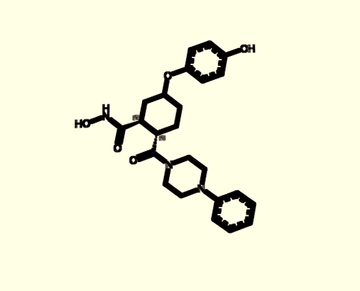 O=C(NO)[C@H]1CC(Oc2ccc(O)cc2)CC[C@@H]1C(=O)N1CCN(c2ccccc2)CC1